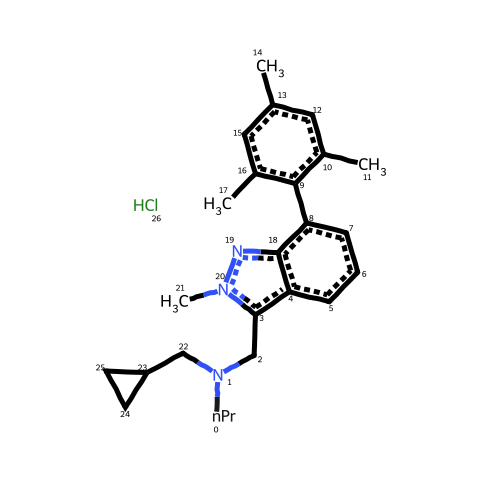 CCCN(Cc1c2cccc(-c3c(C)cc(C)cc3C)c2nn1C)CC1CC1.Cl